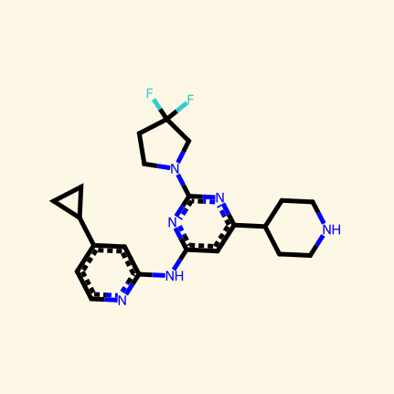 FC1(F)CCN(c2nc(Nc3cc(C4CC4)ccn3)cc(C3CCNCC3)n2)C1